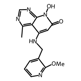 COc1ncccc1CNc1cc(=O)n(O)c2ncnc(C)c12